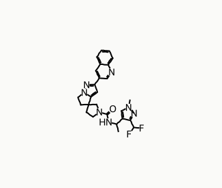 CC(NC(=O)N1CCC2(CCn3nc(-c4cnc5ccccc5c4)cc32)C1)c1cn(C)nc1C(F)F